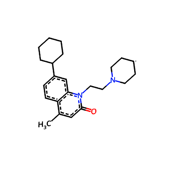 Cc1cc(=O)n(CCN2CC[CH]CC2)c2cc(C3CCCCC3)ccc12